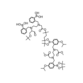 COC(=O)CN(CCN(CC(=O)OC)Cc1cc(OC(C)C)ccc1B1OC(C)(C)C(C)(CCC(C)(C)OC(=O)CN(CCN(Cc2ccccc2B(O)O)C(C=O)COC(C)(C)C)Cc2ccccc2B(O)O)O1)Cc1cc(OC(C)C)ccc1B1OC(C)(C)C(C)(C)O1